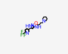 O=C(CCCN1CCCCC1)Nc1cc(-c2ccc(C(F)(F)F)nc2)[nH]n1